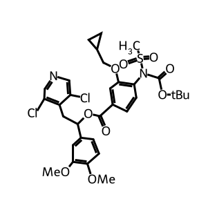 COc1ccc(C(Cc2c(Cl)cncc2Cl)OC(=O)c2ccc(N(C(=O)OC(C)(C)C)S(C)(=O)=O)c(OCC3CC3)c2)cc1OC